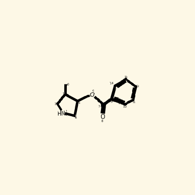 CC1CNCC1OC(=O)c1ccccc1